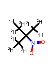 [2H]C([2H])([2H])C([N+](=O)[O-])(C([2H])([2H])[2H])C([2H])([2H])[2H]